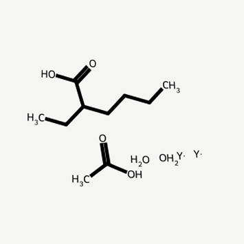 CC(=O)O.CCCCC(CC)C(=O)O.O.O.[Y].[Y]